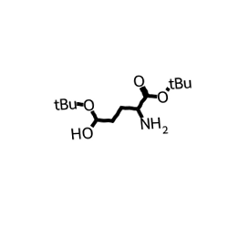 CC(C)(C)OC(=O)C(N)CCC(O)OC(C)(C)C